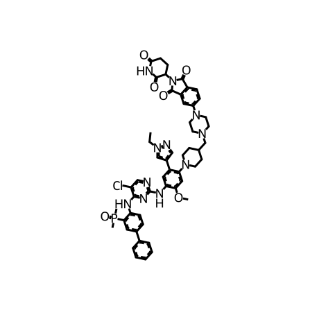 CCn1cc(-c2cc(Nc3ncc(Cl)c(Nc4ccc(-c5ccccc5)cc4P(C)(C)=O)n3)c(OC)cc2N2CCC(CN3CCN(c4ccc5c(c4)C(=O)N(C4CCC(=O)NC4=O)C5=O)CC3)CC2)cn1